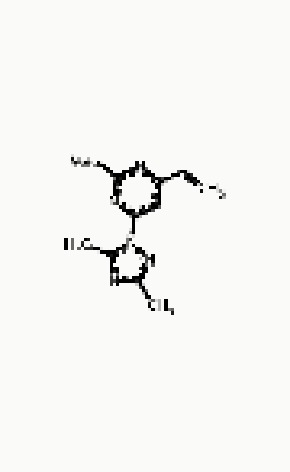 C=Cc1cc(-n2nc(C)nc2C)nc(SC)n1